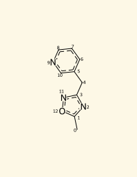 Cc1nc(Cc2cccnc2)no1